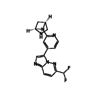 FC(F)c1ccc2ncc(-c3ccnc(N4[C@@H]5CN[C@H]4C5)c3)n2n1